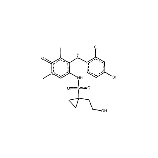 Cc1c(Nc2ccc(Br)cc2Cl)c(NS(=O)(=O)C2(CCO)CC2)cn(C)c1=O